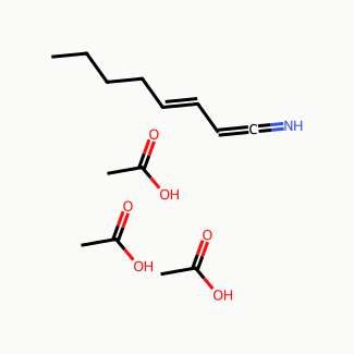 CC(=O)O.CC(=O)O.CC(=O)O.CCCCC=CC=C=N